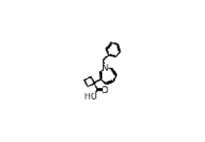 O=C(O)C1(C2=CN(Cc3ccccc3)C=CC=C2)CCC1